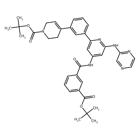 CC(C)(C)OC(=O)c1cccc(C(=O)Nc2cc(Nc3cnccn3)nc(-c3cccc(C4=CCN(C(=O)OC(C)(C)C)CC4)c3)c2)c1